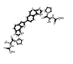 COC(=O)N[C@H](C(=O)N1CCC[C@H]1c1nc2ncc3cc(-c4cc5ccc6nc([C@@H]7CCCN7C(=O)[C@@H](NC(=O)OC)C(C)C)[nH]c6c5o4)ccc3c2[nH]1)C(C)C